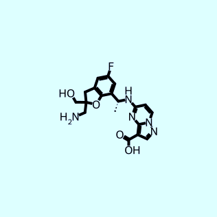 C[C@@H](Nc1ccn2ncc(C(=O)O)c2n1)c1cc(F)cc2c1OC(CN)(CO)C2